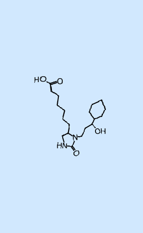 O=C(O)CCCCCCC1CNC(=O)N1CCC(O)C1CCCCC1